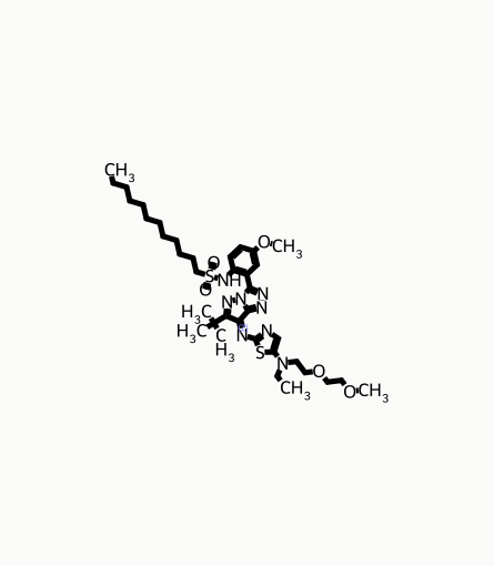 CCCCCCCCCCCCS(=O)(=O)Nc1ccc(OC)cc1-c1nnc2n1N=C(C(C)(C)C)/C2=N/c1ncc(N(CC)CCOCCOC)s1